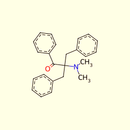 CN(C)C(Cc1ccccc1)(Cc1ccccc1)C(=O)c1ccccc1